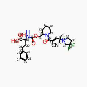 CC(C)(C=C(C#N)C(=O)N1CCCCC1COC(=O)N[C@@H](CCc1ccccc1)B(O)O)N1CCC(F)(F)C1